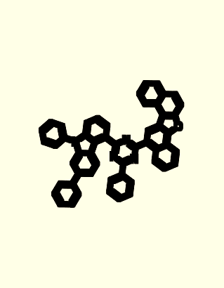 c1ccc(-c2ccc3c4c(-c5nc(-c6ccccc6)nc(-c6cc7c(oc8ccc9ccccc9c87)c7ccccc67)n5)cccc4n(-c4ccccc4)c3c2)cc1